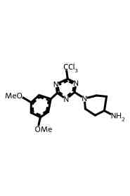 COc1cc(OC)cc(-c2nc(N3CCC(N)CC3)nc(C(Cl)(Cl)Cl)n2)c1